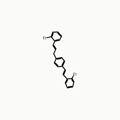 CCc1ccccc1C=CCc1ccc(C=Cc2ccccc2CC)cc1